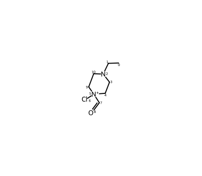 CCN1CC[N+](Cl)(C=O)CC1